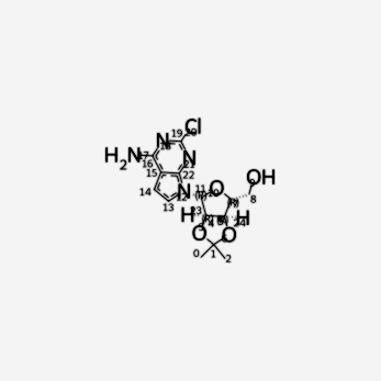 CC1(C)O[C@@H]2[C@H](O1)[C@@H](CO)O[C@H]2n1ccc2c(N)nc(Cl)nc21